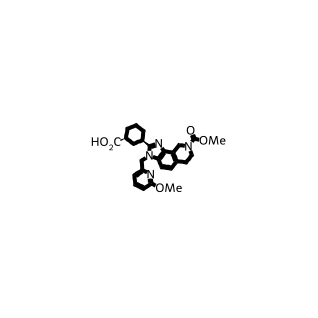 COC(=O)N1CCc2ccc3c(nc([C@@H]4CCC[C@@H](C(=O)O)C4)n3Cc3cccc(OC)n3)c2C1